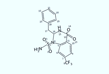 NS(=O)(=O)N1c2cc(C(F)(F)F)ccc2S(=O)(=O)NC1Cc1ccccc1